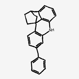 c1ccc(-c2ccc3c(c2)Nc2cccc4c2C32CCC4C2)cc1